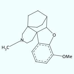 COc1cccc2c1OC1C3CCC4(CC3)CN(C)CCC214